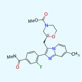 CNC(=O)c1ccc(-c2nc3cc(C)ccn3c2C[C@H]2CN(C(=O)OC)CCO2)c(F)c1